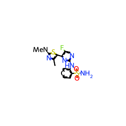 CNc1nc(C)c(-c2nc(Nc3ccccc3S(N)(=O)=O)ncc2F)s1